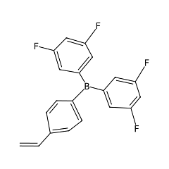 C=Cc1ccc(B(c2cc(F)cc(F)c2)c2cc(F)cc(F)c2)cc1